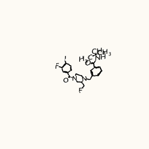 CC(C)(C)NC(=O)c1cccc(CN2CCN(C(=O)c3ccc(I)c(F)c3)CC2CF)c1